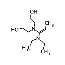 CC=C(N(CC)CC)N(CCO)CCO